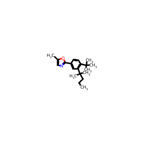 CCCC(C)(C)c1cc(-c2ncc(C)o2)ccc1C(C)(C)C